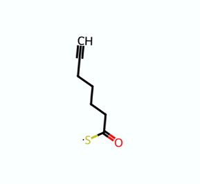 C#CCCCCC(=O)[S]